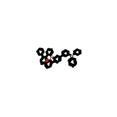 c1ccc(-c2ccccc2-c2ccccc2-n2c3ccccc3c3ccc(-c4cccc(N(c5ccccc5)c5ccccc5)c4)cc32)cc1